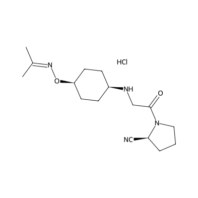 CC(C)=NO[C@H]1CC[C@@H](NCC(=O)N2CCC[C@H]2C#N)CC1.Cl